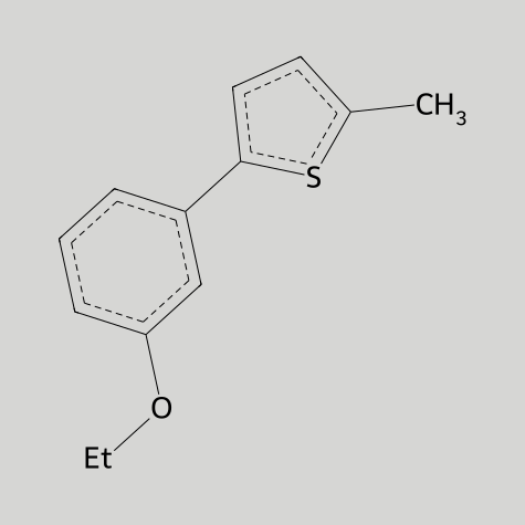 CCOc1cccc(-c2ccc(C)s2)c1